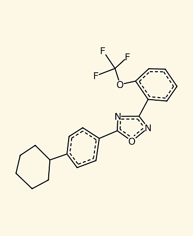 FC(F)(F)Oc1ccccc1-c1noc(-c2ccc(C3CCCCC3)cc2)n1